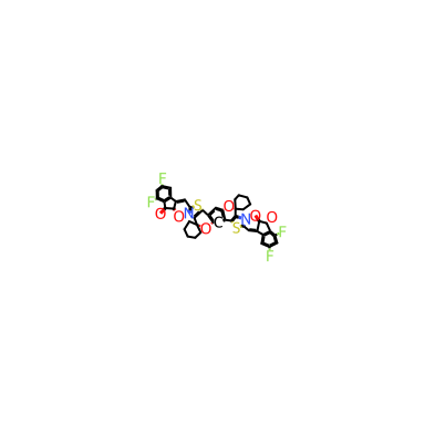 O=C1C(=O)c2c(F)cc(F)cc2/C1=C/c1nc2c(s1)-c1cc3c(cc1OC21CCCCC1)-c1sc(/C=C2\C(=O)C(=O)c4c(F)cc(F)cc42)nc1C1(CCCCC1)O3